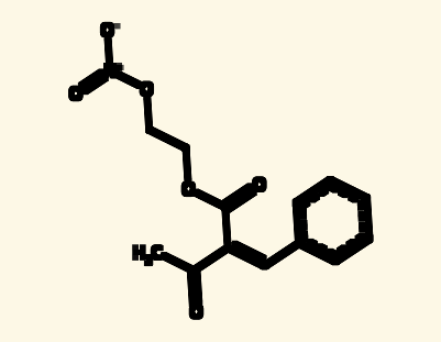 CC(=O)C(=Cc1ccccc1)C(=O)OCCO[N+](=O)[O-]